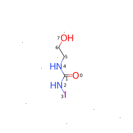 O=C(NI)NCCO